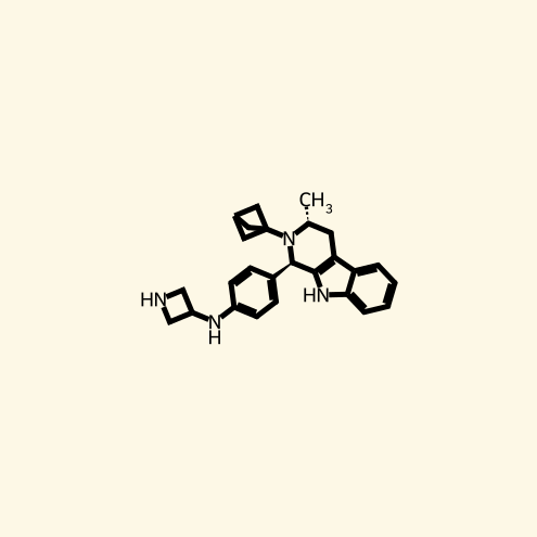 C[C@@H]1Cc2c([nH]c3ccccc23)[C@@H](c2ccc(NC3CNC3)cc2)N1C12CC(C1)C2